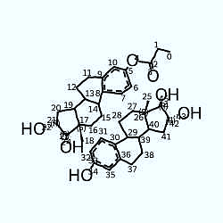 CCC(=O)Oc1ccc2c(c1)CCC1C2CC[C@@]2(C)C1C[C@@H](O)[C@@H]2O.C[C@]12CCC3c4ccc(O)cc4CCC3C1C[C@@H](O)[C@@H]2O